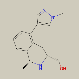 C[C@@H]1N[C@@H](CO)Cc2c(-c3cnn(C)c3)cccc21